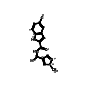 CCC(NC(=O)c1cc2cc(Cl)ccc2[nH]1)c1cnn(C)c1